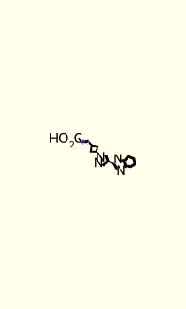 O=C(O)/C=C/C1CC(n2cc(-c3cnc4ccccc4n3)cn2)C1